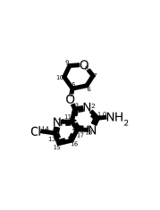 Nc1nc(OC2CCOCC2)c2nc(Cl)ccc2n1